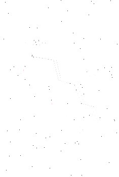 C=CC(/C=C/C(=O)OC)=C(\C=C)S(C)(=O)=O